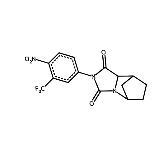 O=C1C2C3CCC(C3)N2C(=O)N1c1ccc([N+](=O)[O-])c(C(F)(F)F)c1